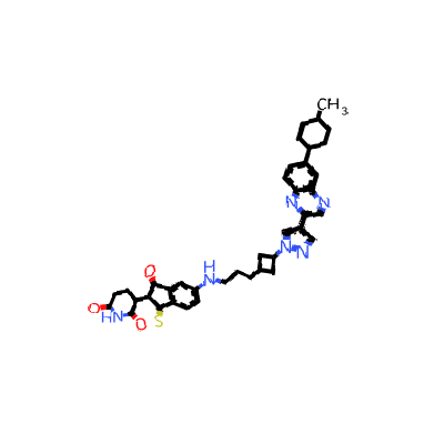 CC1CCC(c2ccc3nc(-c4cnn(C5CC(CCCNc6ccc7c(c6)C(=O)C(C6CCC(=O)NC6=O)C7=S)C5)c4)cnc3c2)CC1